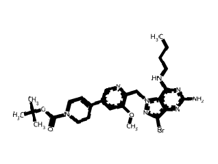 CCCCNc1nc(N)nc2c(Br)nn(Cc3ncc(C4=CCN(C(=O)OC(C)(C)C)CC4)cc3OC)c12